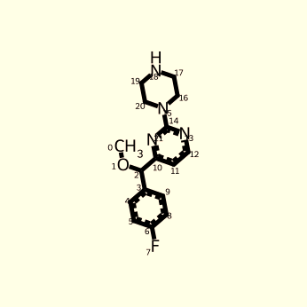 COC(c1ccc(F)cc1)c1ccnc(N2CCNCC2)n1